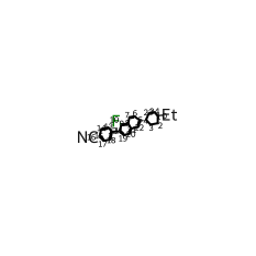 CC[C@H]1CC[C@H](c2ccc3c(F)c(-c4ccc(C#N)cc4)ccc3c2)CC1